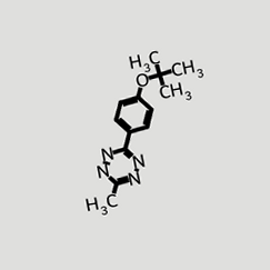 Cc1nnc(-c2ccc(OC(C)(C)C)cc2)nn1